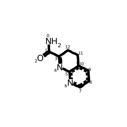 NC(=O)C1=Nc2ncccc2CC1